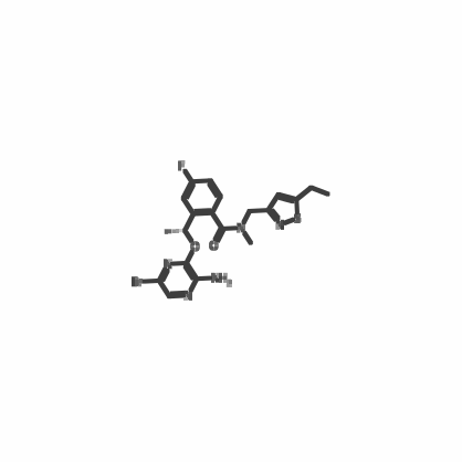 CCc1cc(CN(C)C(=O)c2ccc(F)cc2[C@@H](C)Oc2nc(Br)cnc2N)ns1